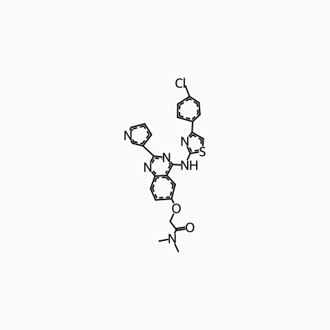 CN(C)C(=O)COc1ccc2nc(-c3cccnc3)nc(Nc3nc(-c4ccc(Cl)cc4)cs3)c2c1